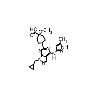 COC1(C(=O)O)CCC(c2nc(Nc3cc(C)[nH]n3)c3cnn(CC4CC4)c3n2)CC1